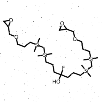 C[Si](C)(CCCOCC1CO1)C[Si](C)(C)CCCC(O)(F)CCC[Si](C)(C)C[Si](C)(C)CCCOCC1CO1